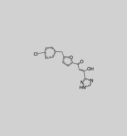 O=C(C=C(O)c1nc[nH]n1)c1ccc(Cc2ccc(Cl)cc2)o1